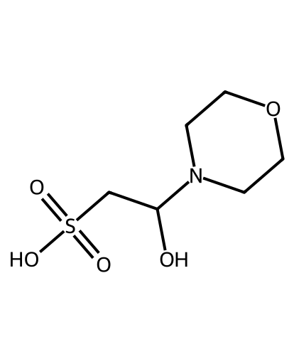 O=S(=O)(O)CC(O)N1CCOCC1